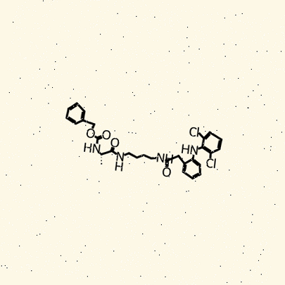 C[C@H](NC(=O)OCc1ccccc1)C(=O)NCCCCNC(=O)Cc1ccccc1Nc1c(Cl)cccc1Cl